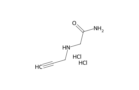 C#CCNCC(N)=O.Cl.Cl